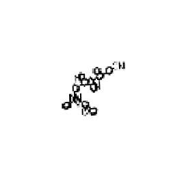 N#Cc1ccc(-c2ccc(-c3cc4c5cccnc5c(-c5cccc(-c6nc(-c7ccccc7)nc(-c7ccc8c(c7)oc7ccccc78)n6)c5)cc4c4cccnc34)c3ccccc23)cc1